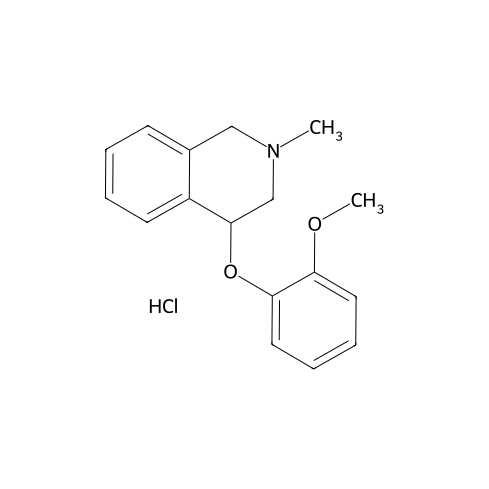 COc1ccccc1OC1CN(C)Cc2ccccc21.Cl